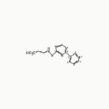 O=C(O)CCNCc1cccc(-c2c[c]cnc2)c1